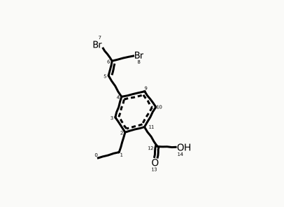 CCc1cc(C=C(Br)Br)ccc1C(=O)O